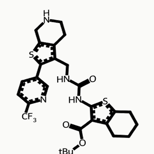 CC(C)(C)OC(=O)c1c(NC(=O)NCc2c(-c3ccc(C(F)(F)F)nc3)sc3c2CCNC3)sc2c1CCCC2